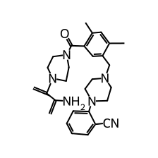 C=C(N)C(=C)N1CCN(C(=O)c2cc(CN3CCN(c4ccccc4C#N)CC3)c(C)cc2C)CC1